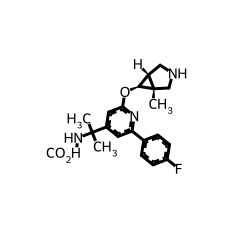 CC(C)(NC(=O)O)c1cc(O[C@H]2[C@@H]3CNC[C@@]32C)nc(-c2ccc(F)cc2)c1